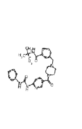 CC(C)(C)NC(=O)c1cccc(CN2CCN(C(=O)c3ccc(NC(=O)Nc4ccccc4)nc3)CC2)c1